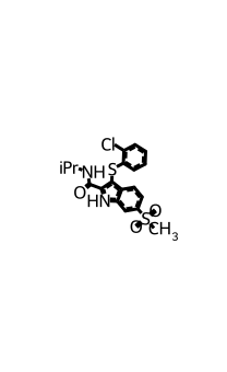 CC(C)NC(=O)c1[nH]c2cc(S(C)(=O)=O)ccc2c1Sc1ccccc1Cl